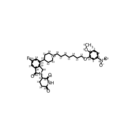 COc1ccc([N+](=O)[O-])cc1OCCCCCCCN1CCC(c2cc(F)cc3c2CN(C2CCC(=O)NC2=O)C3=O)CC1